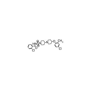 Cc1cc(Cl)ccc1OC1CCN(C2CCN(S(=O)(=O)NC(=O)c3ccccc3Cl)CC2)CC1